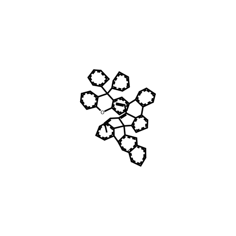 C=CC1=C(/C=C\C)C2(c3ccccc3-c3cc4ccccc4cc32)c2cccc(-c3ccccc3-c3ccc4c(c3)C(c3ccccc3)(c3ccccc3)c3ccccc3O4)c21